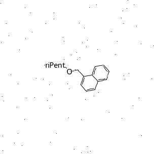 CCCC[CH]OCc1cccc2ccccc12